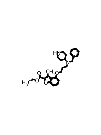 CCOC(=O)c1oc2cccc(OCCCN(Cc3ccccc3)C3CCNCC3)c2c1C